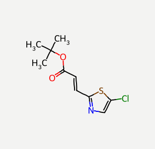 CC(C)(C)OC(=O)C=Cc1ncc(Cl)s1